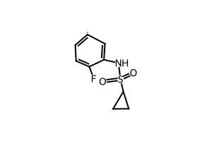 O=S(=O)(Nc1c[c]ccc1F)C1CC1